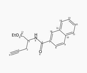 C#CCC(NC(=O)c1ccc2ccccc2c1)C(=O)OCC